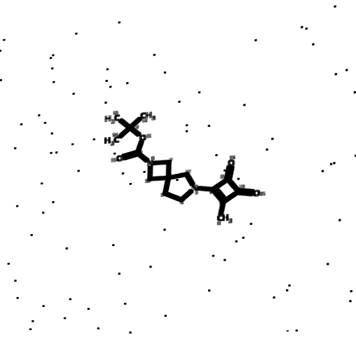 Cc1c(N2CCC3(CN(C(=O)OC(C)(C)C)C3)C2)c(=O)c1=O